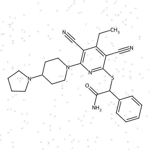 CCc1c(C#N)c(SC(C(N)=O)c2ccccc2)nc(N2CCC(N3CCCC3)CC2)c1C#N